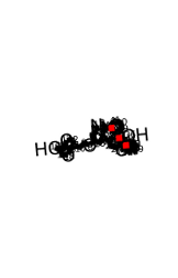 N#Cc1cnn2cc(OCCC3COC4C(O)COC34)cc(-c3ccc(N4CC5CC(C4)N5C(=O)[C@@H](O)Cc4ccccc4)nc3)c12